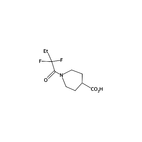 CCC(F)(F)C(=O)N1CCC(C(=O)O)CC1